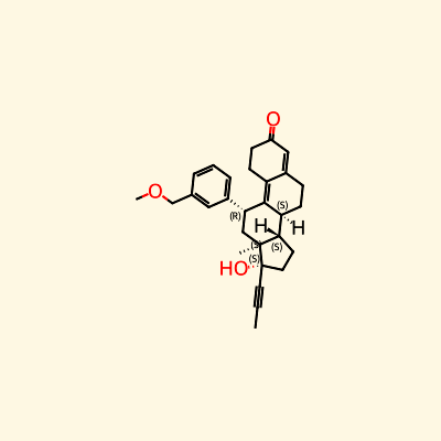 CC#C[C@]1(O)CC[C@H]2[C@@H]3CCC4=CC(=O)CCC4=C3[C@@H](c3cccc(COC)c3)C[C@@]21C